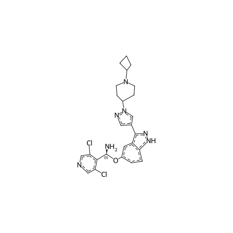 N[C@@H](Oc1ccc2[nH]nc(-c3cnn(C4CCN(C5CCC5)CC4)c3)c2c1)c1c(Cl)cncc1Cl